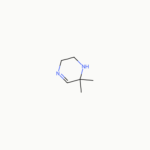 CC1(C)C=NCCN1